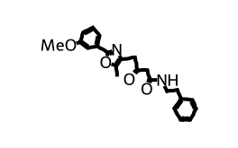 COc1cccc(-c2nc(CC(=O)CC(=O)NCCc3ccccc3)c(C)o2)c1